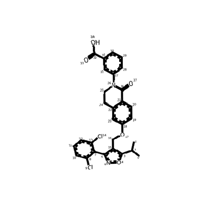 CC(C)c1onc(-c2c(Cl)cccc2Cl)c1COc1ccc2c(c1)CCN(c1cccc(C(=O)O)c1)C2=O